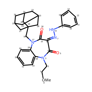 COCCn1c(=O)c(=NNc2ccccc2)c(=O)n(CC23CC4CC(CC(C4)C2)C3)c2ccccc21